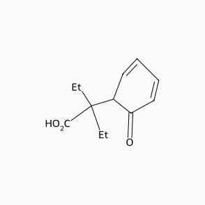 CCC(CC)(C(=O)O)C1C=CC=CC1=O